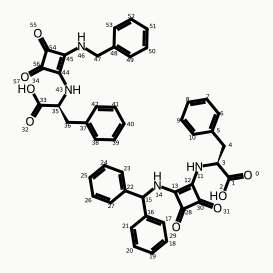 O=C(O)[C@H](Cc1ccccc1)Nc1c(NC(c2ccccc2)c2ccccc2)c(=O)c1=O.O=C(O)[C@H](Cc1ccccc1)Nc1c(NCc2ccccc2)c(=O)c1=O